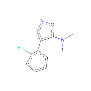 CN(C)c1oncc1-c1ccccc1F